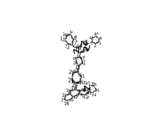 c1ccc(-c2nc(-c3ccccc3)nc(-c3ccc(-c4ccc(-c5cc6ccccc6c6cc7ccccn7c56)cc4)cc3)n2)cc1